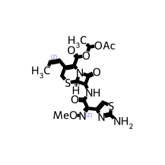 C/C=C\C1=C(C(=O)OC(C)OC(C)=O)N2C(=O)C(NC(=O)/C(=N\OC)c3csc(N)n3)[C@H]2SC1